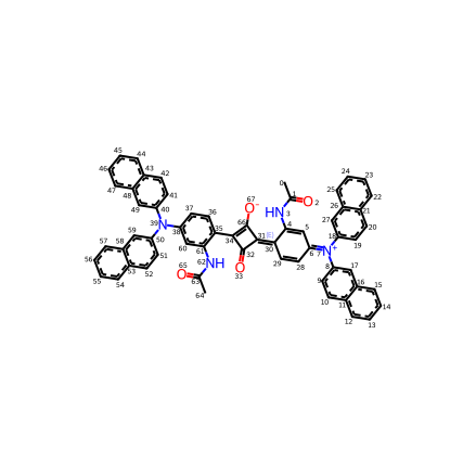 CC(=O)NC1=CC(=[N+](c2ccc3ccccc3c2)c2ccc3ccccc3c2)C=C/C1=C1\C(=O)C(c2ccc(N(c3ccc4ccccc4c3)c3ccc4ccccc4c3)cc2NC(C)=O)=C1[O-]